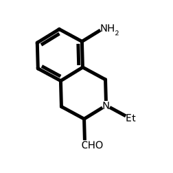 CCN1Cc2c(N)cccc2CC1C=O